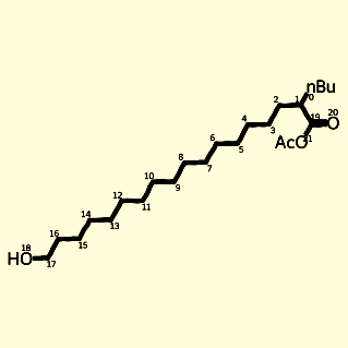 CCCCC(CCCCCCCCCCCCCCCCO)C(=O)OC(C)=O